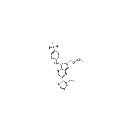 COCc1cc(Nc2ccc(C(F)(F)F)cn2)c2ncc(-c3ncncc3CF)nc2n1